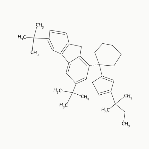 CCC(C)(C)C1=CCC(C2(c3cc(C(C)(C)C)cc4c3Cc3ccc(C(C)(C)C)cc3-4)CCCCC2)=C1